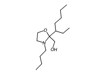 CCCCC(CC)C1(CO)OCCN1CCCC